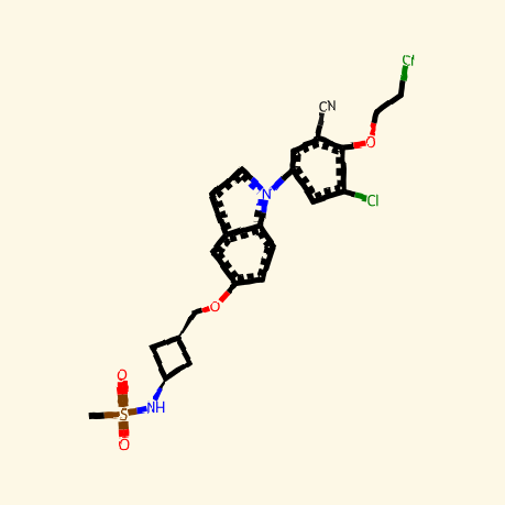 CS(=O)(=O)N[C@H]1C[C@@H](COc2ccc3c(ccn3-c3cc(Cl)c(OCCCl)c(C#N)c3)c2)C1